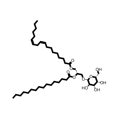 CCCCC/C=C\C/C=C\CCCCCCCC(=O)OC[C@H](CO[C@@H]1O[C@H](CO)[C@H](O)[C@H](O)[C@H]1O)OC(=O)CCCCCCCCCCCCCCC